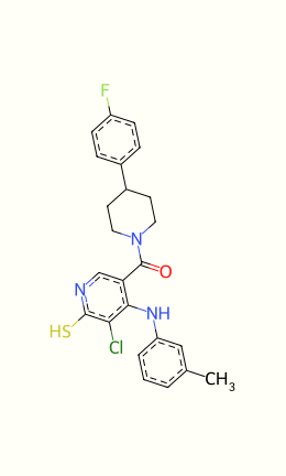 Cc1cccc(Nc2c(C(=O)N3CCC(c4ccc(F)cc4)CC3)cnc(S)c2Cl)c1